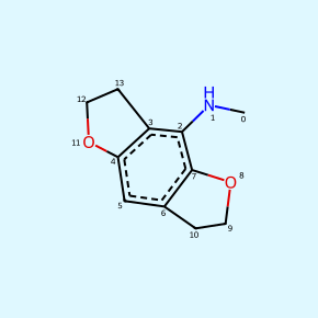 CNc1c2c(cc3c1OCC3)OCC2